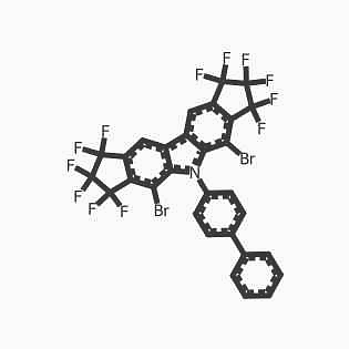 FC1(F)c2cc3c4cc5c(c(Br)c4n(-c4ccc(-c6ccccc6)cc4)c3c(Br)c2C(F)(F)C1(F)F)C(F)(F)C(F)(F)C5(F)F